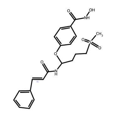 CS(=O)(=O)CCCC(NC(=O)/C=C/c1ccccc1)Oc1ccc(C(=O)NO)cc1